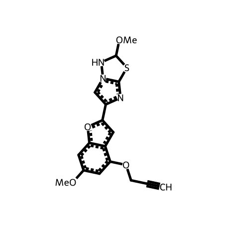 C#CCOc1cc(OC)cc2oc(-c3cn4c(n3)SC(OC)N4)cc12